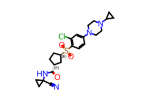 N#CC1(NC(=O)[C@@H]2CC[C@@H](S(=O)(=O)c3ccc(N4CCN(C5CC5)CC4)cc3Cl)C2)CC1